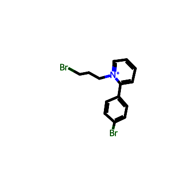 BrCCC[n+]1ccccc1-c1ccc(Br)cc1